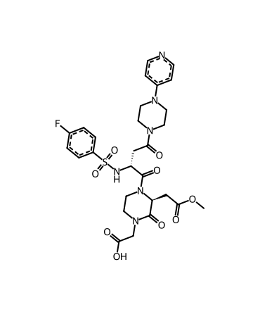 COC(=O)C[C@H]1C(=O)N(CC(=O)O)CCN1C(=O)[C@@H](CC(=O)N1CCN(c2ccncc2)CC1)NS(=O)(=O)c1ccc(F)cc1